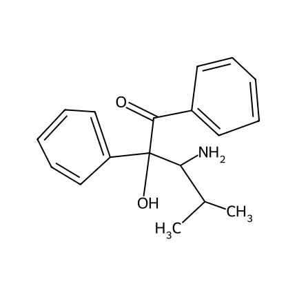 CC(C)C(N)C(O)(C(=O)c1ccccc1)c1ccccc1